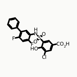 O=C(O)c1cc(Cl)c(O)c(S(=O)(=O)Nc2cc(-c3ccccc3)c(F)cc2F)c1